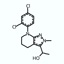 CC(O)c1c2c(nn1C)N(c1ccc(Cl)cc1Cl)CCC2